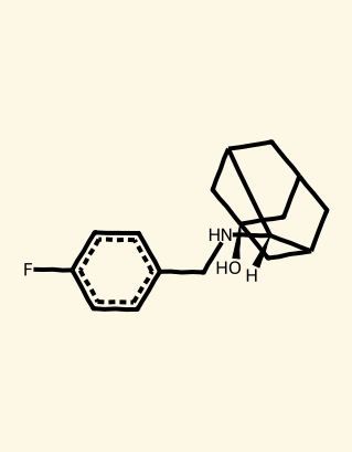 O[C@]12CC3CC(C1)[C@@H](NCc1ccc(F)cc1)C(C3)C2